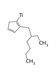 CCCCC(CC)CC1=[C]([Ti])CC=C1